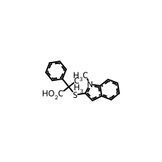 Cn1c(SC(C)(C(=O)O)c2ccccc2)cc2ccccc21